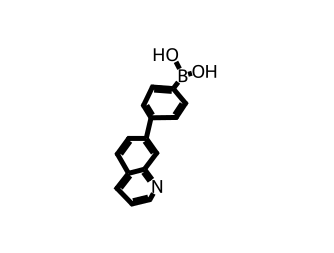 OB(O)c1ccc(-c2ccc3cccnc3c2)cc1